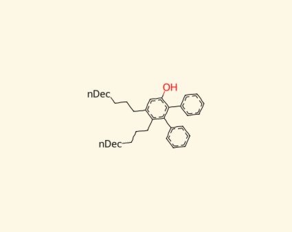 CCCCCCCCCCCCCc1cc(O)c(-c2ccccc2)c(-c2ccccc2)c1CCCCCCCCCCCCC